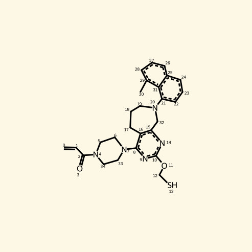 C=CC(=O)N1CCN(c2nc(OCS)nc3c2CCCN(c2cccc4cccc(C)c24)C3)CC1